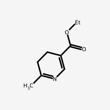 CCOC(=O)C1=CN=C(C)CC1